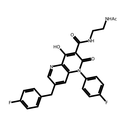 CC(=O)NCCNC(=O)c1c(O)c2ncc(Cc3ccc(F)cc3)cc2n(-c2ccc(F)cc2)c1=O